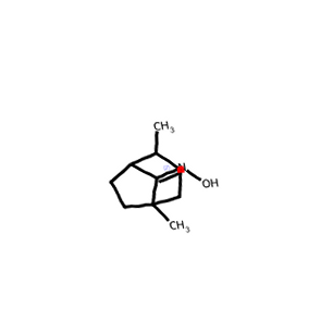 CC1CCC2(C)CCC1/C2=N/O